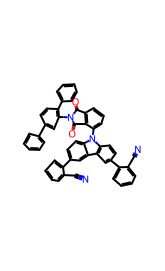 N#Cc1ccccc1-c1ccc2c(c1)c1cc(-c3ccccc3C#N)ccc1n2-c1cccc2c1C(=O)N(c1cc(-c3ccccc3)ccc1-c1ccccc1)C2=O